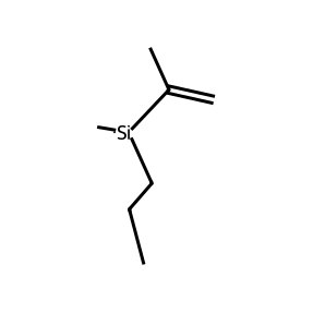 C=C(C)[Si](C)CCC